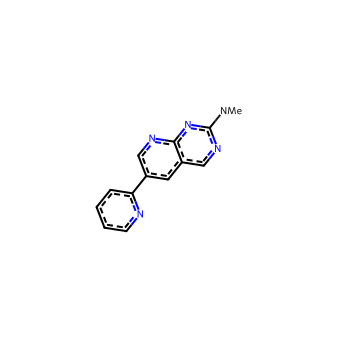 CNc1ncc2cc(-c3ccccn3)cnc2n1